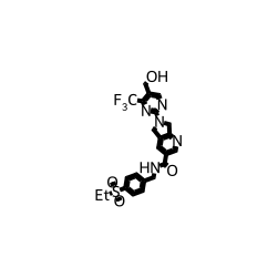 CCS(=O)(=O)c1ccc(CNC(=O)c2cnc3c(c2)CN(c2ncc(CO)c(C(F)(F)F)n2)C3)cc1